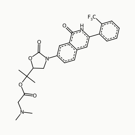 CN(C)CC(=O)OC(C)(C)C1CN(c2ccc3cc(-c4ccccc4C(F)(F)F)[nH]c(=O)c3c2)C(=O)O1